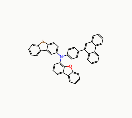 c1ccc2c(c1)cc(-c1ccc(N(c3ccc4sc5ccccc5c4c3)c3cccc4c3oc3ccccc34)cc1)c1ccccc12